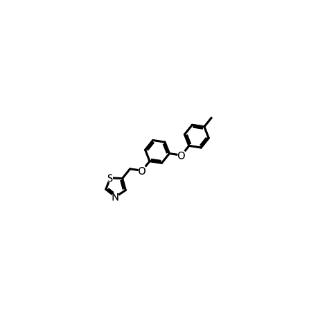 Cc1ccc(Oc2cccc(OCc3cncs3)c2)cc1